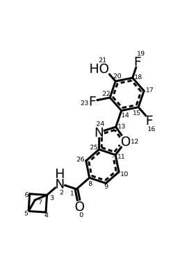 O=C(NC12CC(C1)C2)c1ccc2oc(-c3c(F)cc(F)c(O)c3F)nc2c1